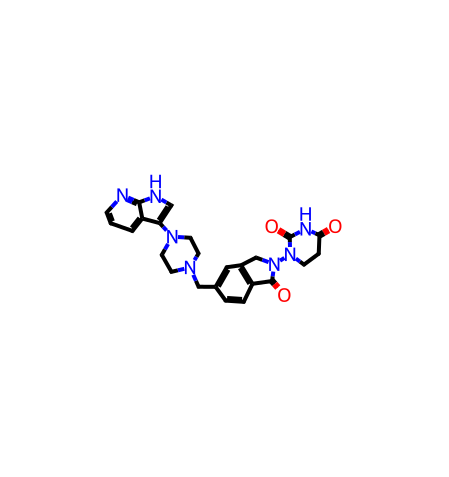 O=C1CCN(N2Cc3cc(CN4CCN(c5c[nH]c6ncccc56)CC4)ccc3C2=O)C(=O)N1